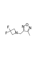 Cc1nonc1CN1CC(F)(F)C1